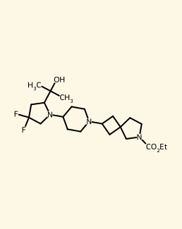 CCOC(=O)N1CCC2(CC(N3CCC(N4CC(F)(F)CC4C(C)(C)O)CC3)C2)C1